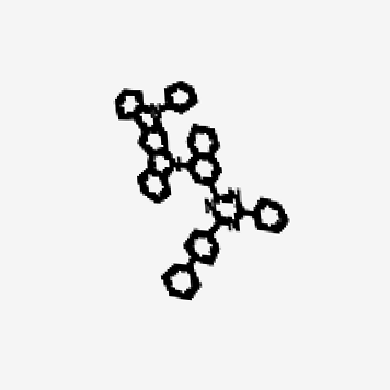 c1ccc(-c2ccc(-c3nc(-c4ccccc4)nc(-c4cc(-n5c6ccccc6c6cc7c8ccccc8n(-c8ccccc8)c7cc65)c5ccccc5c4)n3)cc2)cc1